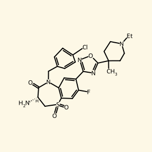 CCN1CCC(C)(c2nc(-c3cc4c(cc3F)S(=O)(=O)C[C@H](N)C(=O)N4Cc3ccc(Cl)cc3)no2)CC1